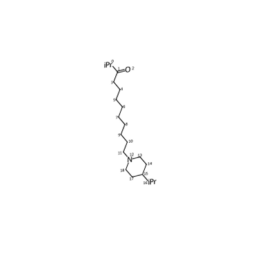 CC(C)C(=O)CCCCCCCCCN1CCC(C(C)C)CC1